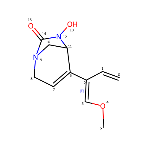 C=C/C(=C\OC)C1=CCN2CC1N(O)C2=O